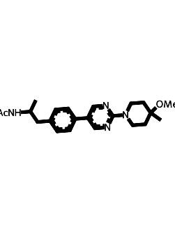 COC1(C)CCN(c2ncc(-c3ccc(CC(C)NC(C)=O)cc3)cn2)CC1